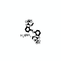 CCN1C2C(=CC=CC2=NN=C2C=CC=C3SC(S(=O)(=O)O)N(CC)C32)SC1S(=O)(=O)O.N.N